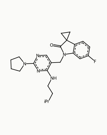 CC(C)CCNc1nc(N2CCCC2)ncc1CN1C(=O)C2(CC2)c2ccc(F)cc21